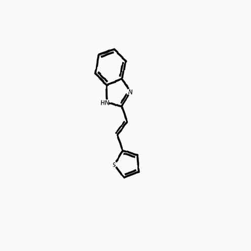 C(=Cc1cccs1)c1nc2ccccc2[nH]1